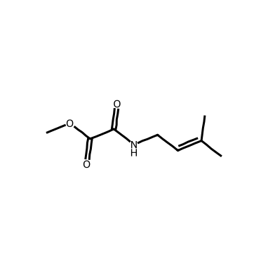 COC(=O)C(=O)NCC=C(C)C